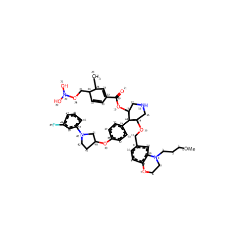 COCCCN1CCOc2ccc(COC3CNCC(OC(=O)C4=CC(C)C(CON(O)O)C=C4)C3c3ccc(OC4CCN(c5cccc(F)c5)C4)cc3)cc21